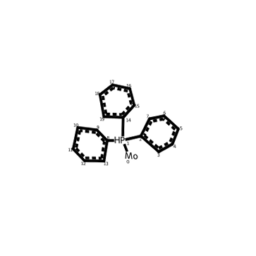 [Mo][PH](c1ccccc1)(c1ccccc1)c1ccccc1